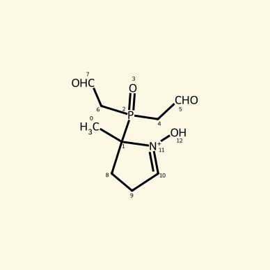 CC1(P(=O)(CC=O)CC=O)CCC=[N+]1O